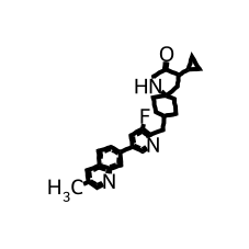 Cc1cnc2cc(-c3cnc(CC4CCC5(CC4)CC(C4CC4)C(=O)CN5)c(F)c3)ccc2c1